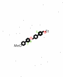 CCOCc1ccc(C2CCC(COc3ccc(C4CCC(OC)CC4)c(F)c3F)CC2)c(F)c1